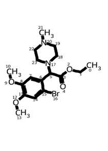 CCOC(=O)C(c1cc(OC)c(OC)cc1Br)N1CCN(C)CC1